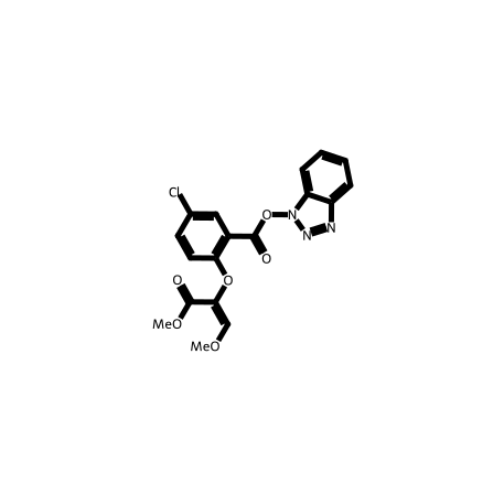 CO/C=C(/Oc1ccc(Cl)cc1C(=O)On1nnc2ccccc21)C(=O)OC